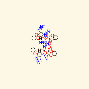 [N-]=[N+]=NC1C[C@@H](N=[N+]=[N-])C2OC3(CCCCC3)O[C@H]2[C@@H]1O[C@H]1OC2COC3(CCCCC3)O[C@H]2[C@H](OCO[C@@H]2C(N=[N+]=[N-])[C@@H](O[C@@H]3C(N=[N+]=[N-])C[C@@H](N=[N+]=[N-])C4OC5(CCCCC5)O[C@H]43)OC3COC4(CCCCC4)O[C@H]32)C1N=[N+]=[N-]